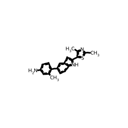 Cc1nc(C)c(-c2cc3cc(-c4ccc(N)cc4C)ccc3[nH]2)s1